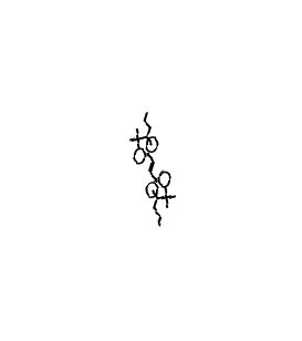 CCCC(OC(=O)/C=C/C(=O)OC(CCC)C(C)(C)C)C(C)(C)C